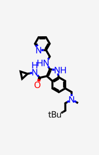 CN(CCC(C)(C)C)Cc1ccc2c(C(=O)NC3CC3)c(NCc3ccccn3)[nH]c2c1